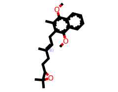 COc1c(C)c(C/C=C(\C)CCC2OC2(C)C)c(OC)c2ccccc12